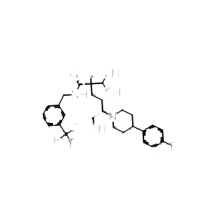 CC[C@@H](CCC(C)(C(=O)NCc1cccc(C(F)(F)F)c1)C(C)C)N1CCC(c2ccc(F)cc2)CC1